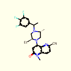 CC[C@H]1CN(C(C)c2cc(F)c(F)c(F)c2)[C@H](C)CN1c1cc(=O)n(C)c2ccc(C#N)nc12